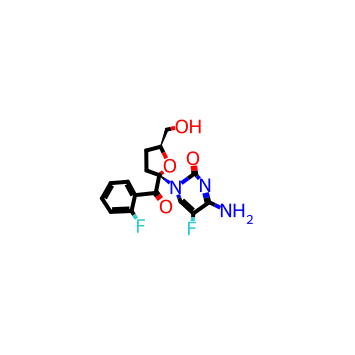 Nc1nc(=O)n([C@@]2(C(=O)c3ccccc3F)CC[C@@H](CO)O2)cc1F